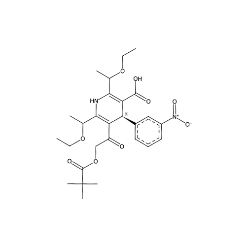 CCOC(C)C1=C(C(=O)O)[C@@H](c2cccc([N+](=O)[O-])c2)C(C(=O)COC(=O)C(C)(C)C)=C(C(C)OCC)N1